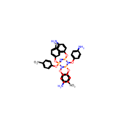 Nc1ccc(ON2P(Oc3ccc(N)cc3)N=P(Oc3ccc([N+](=O)[O-])cc3)(Oc3ccc([N+](=O)[O-])cc3)N(Oc3ccc([N+](=O)[O-])cc3)P2Oc2ccc(N)cc2)cc1